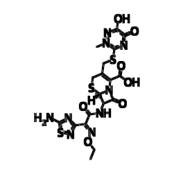 CCON=C(C(=O)NC1C(=O)N2C(C(=O)O)=C(CSc3nc(=O)c(O)nn3C)CS[C@@H]12)c1nsc(N)n1